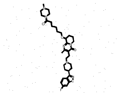 Cc1nc2n(c(=O)c1CCN1CCC(c3noc4cc(F)ccc34)CC1)CCCC2OCCCCCC(=O)N1CCN(C)CC1